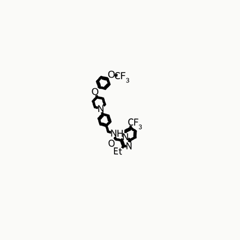 CCc1nc2ccc(C(F)(F)F)cn2c1C(=O)NCc1ccc(N2CCC(Oc3ccc(OC(F)(F)F)cc3)CC2)cc1